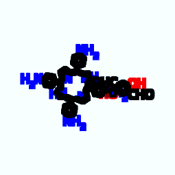 Nc1ccc(-c2c3nc(c(-c4ccc(N)cc4)c4ccc([nH]4)c(-c4ccc(N)cc4)c4nc(c(-c5ccc(N)cc5)c5ccc2[nH]5)C=C4)C=C3)cc1.O=Cc1cc(O)c(C=O)cc1O